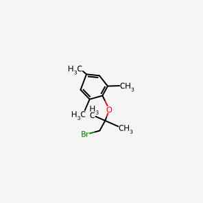 Cc1cc(C)c(OC(C)(C)CBr)c(C)c1